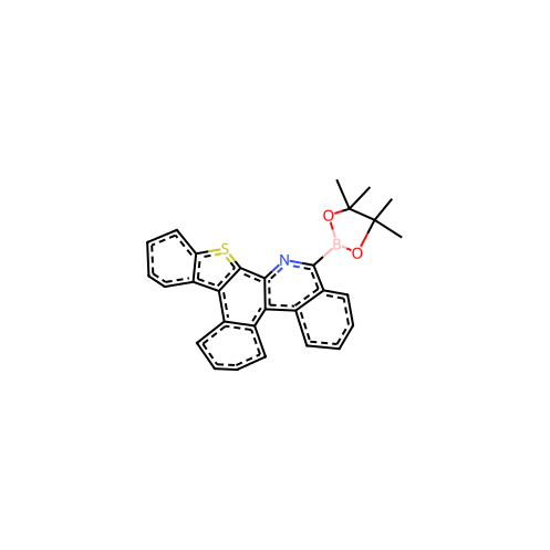 CC1(C)OB(c2nc3c4sc5ccccc5c4c4ccccc4c3c3ccccc23)OC1(C)C